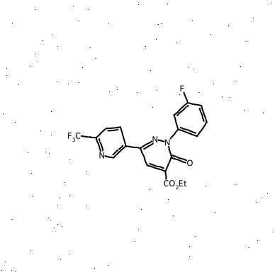 CCOC(=O)c1cc(-c2ccc(C(F)(F)F)nc2)nn(-c2cccc(F)c2)c1=O